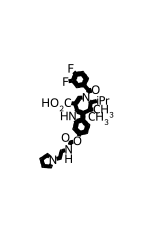 CC(C)C1N(C(=O)c2ccc(F)c(F)c2)C=C(C(=O)O)c2[nH]c3cc(OC(=O)NCCN4CCCC4)ccc3c2C1(C)C